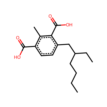 CCCCC(CC)Cc1ccc(C(=O)O)c(C)c1C(=O)O